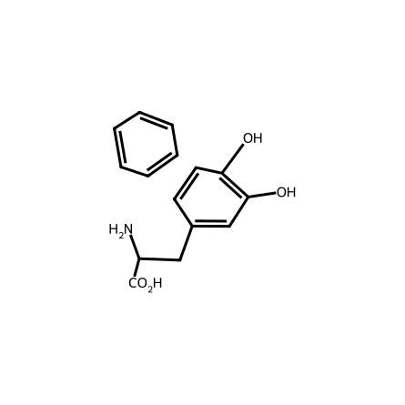 NC(Cc1ccc(O)c(O)c1)C(=O)O.c1ccccc1